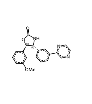 COc1cccc([C@H]2OC(=O)N[C@@H]2c2cccc(-c3cnccn3)c2)c1